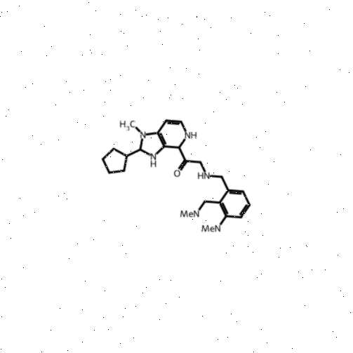 CNCc1c(CNCC(=O)C2NC=CC3=C2NC(C2CCCC2)N3C)cccc1NC